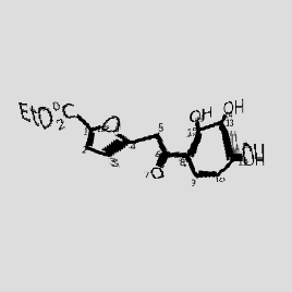 CCOC(=O)c1ccc(CC(=O)c2ccc(O)c(O)c2O)o1